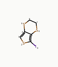 Ic1scc2c1SCCS2